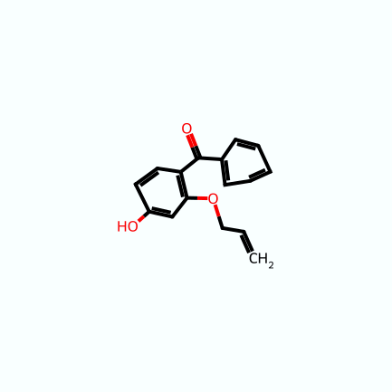 C=CCOc1cc(O)ccc1C(=O)c1ccccc1